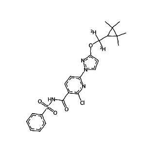 [2H]C([2H])(Oc1ccn(-c2ccc(C(=O)NS(=O)(=O)c3ccccc3)c(Cl)n2)n1)C1C(C)(C)C1(C)C